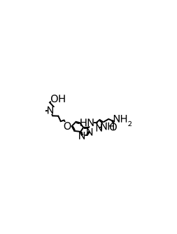 CN(CCO)CCCCOc1ccc2c(Nc3cc(CC(N)=O)[nH]n3)ncnc2c1